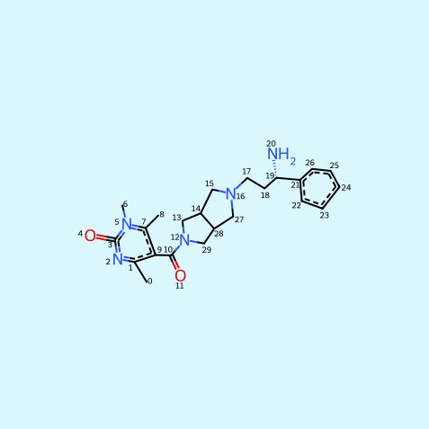 Cc1nc(=O)n(C)c(C)c1C(=O)N1CC2CN(CC[C@H](N)c3ccccc3)CC2C1